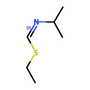 CCS/C=N\C(C)C